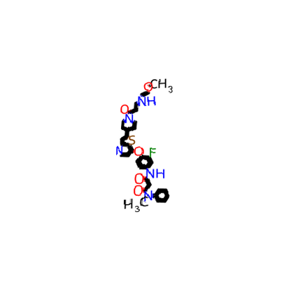 COCCNCCC(=O)N1CC=C(c2cc3nccc(Oc4ccc(NC(=O)CC(=O)N(C)c5ccccc5)cc4F)c3s2)CC1